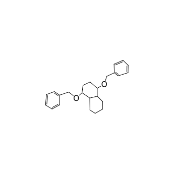 c1ccc(COC2CCC(OCc3ccccc3)C3CCCCC23)cc1